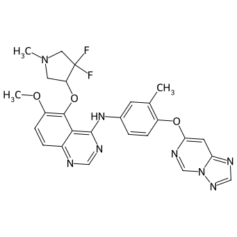 COc1ccc2ncnc(Nc3ccc(Oc4cc5ncnn5cn4)c(C)c3)c2c1OC1CN(C)CC1(F)F